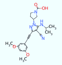 COc1cc(C#Cc2nn([C@H]3CCN(C(=O)O)C3)c(NC(C)C)c2C#N)cc(OC)c1